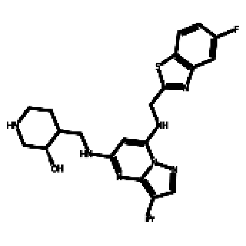 CC(C)c1cnn2c(NCc3nc4cc(F)ccc4s3)cc(NCC3CCNC[C@@H]3O)nc12